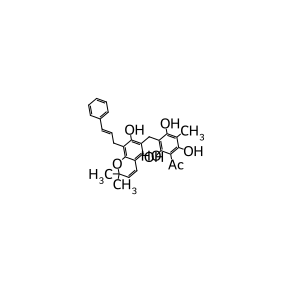 CC(=O)c1c(O)c(C)c(O)c(Cc2c(O)c3c(c(C/C=C/c4ccccc4)c2O)OC(C)(C)C=C3)c1O